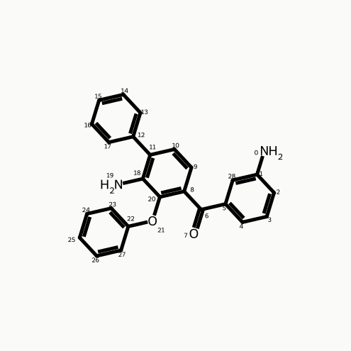 Nc1cccc(C(=O)c2ccc(-c3ccccc3)c(N)c2Oc2ccccc2)c1